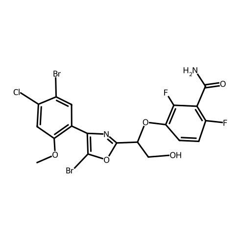 COc1cc(Cl)c(Br)cc1-c1nc(C(CO)Oc2ccc(F)c(C(N)=O)c2F)oc1Br